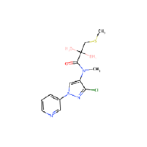 BC(B)(CSC)C(=O)N(C)c1cn(-c2cccnc2)nc1Cl